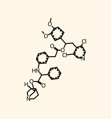 COc1ccc(C(Cc2c(Cl)cncc2Cl)OC(=O)Cc2cccc(NC(C(=O)O[C@H]3CN4CCC3CC4)c3ccccc3)c2)cc1OC